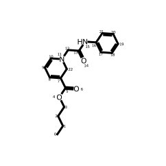 CCCCOC(=O)C1=CC=CN(CC(=O)Nc2ccccc2)C1